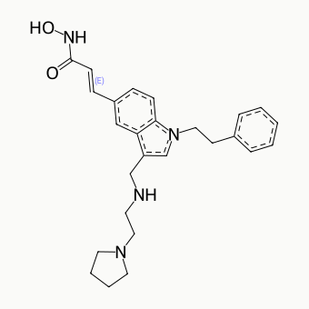 O=C(/C=C/c1ccc2c(c1)c(CNCCN1CCCC1)cn2CCc1ccccc1)NO